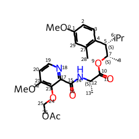 COc1ccc([C@H](C(C)C)[C@H](C)OC(=O)[C@H](C)NC(=O)c2nccc(OC)c2OCOC(C)=O)c(C)c1